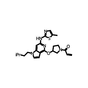 C=CC(=O)N1CCC(Oc2nc(Nc3ncc(C)s3)cc3c2ccn3CCC(C)C)C1